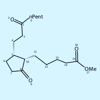 CCCCCC(=O)CC[C@H]1CCC(=O)[C@H]1CCCCC(=O)OC